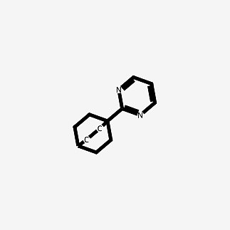 c1cnc(C23CCC(CC2)CC3)nc1